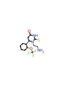 NCCn1c(-c2ccccc2OC(F)(F)F)cc(=O)[nH]c1=S